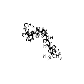 CCOC(=O)c1ncsc1NS(=O)(=O)c1cnc(NC(=O)CNC(=O)OC(C)(C)C)s1